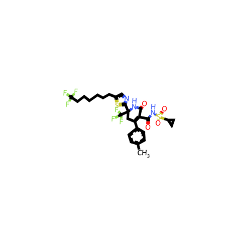 Cc1ccc(C2=C(C(=O)NS(=O)(=O)C3CC3)C(=O)NC(c3ncc(CCCCCCC(F)(F)F)s3)(C(F)(F)F)C2)cc1